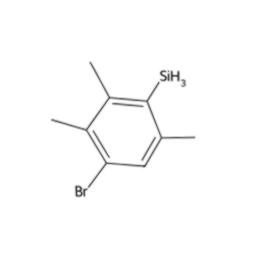 Cc1cc(Br)c(C)c(C)c1[SiH3]